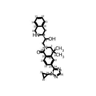 CC1(C)CN(CC(O)[C@@H]2Cc3ccccc3CN2)C(=O)c2ccc(-c3ncnn3C3CC3)cc21